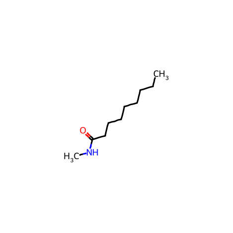 CCCCCCCCC(=O)NC